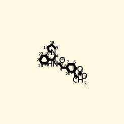 Cn1c(=O)oc2ccc(CC(=O)NC(CN3CCCC3)c3ccccc3)cc21